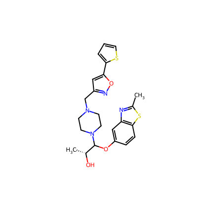 Cc1nc2cc(OC([C@@H](C)O)N3CCN(Cc4cc(-c5cccs5)on4)CC3)ccc2s1